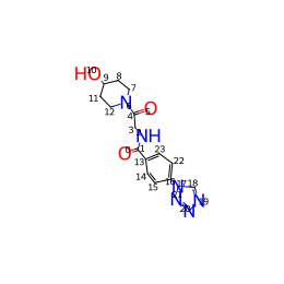 O=C(NCC(=O)N1CCC(O)CC1)c1ccc(-n2cnnn2)cc1